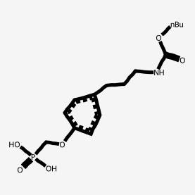 CCCCOC(=O)NCCCc1ccc(OCP(=O)(O)O)cc1